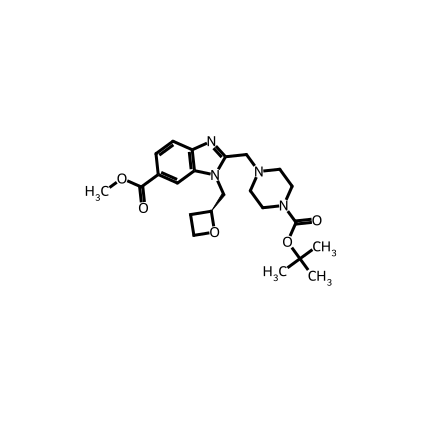 COC(=O)c1ccc2nc(CN3CCN(C(=O)OC(C)(C)C)CC3)n(C[C@@H]3CCO3)c2c1